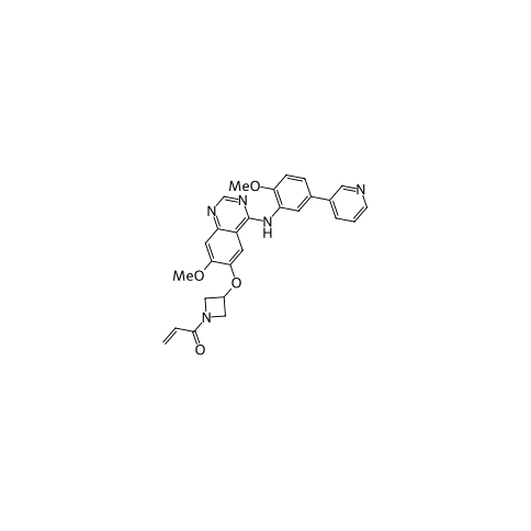 C=CC(=O)N1CC(Oc2cc3c(Nc4cc(-c5cccnc5)ccc4OC)ncnc3cc2OC)C1